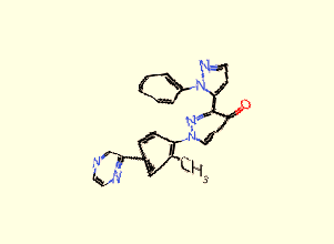 Cc1cc(-c2cnccn2)ccc1-n1ccc(=O)c(-c2ccnn2-c2ccccc2)n1